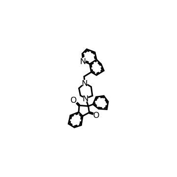 O=C1c2ccccc2C(=O)C1(c1ccccc1)N1CCN(Cc2cccc3cccnc23)CC1